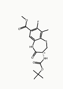 COC(=O)c1cc2c(c(C)c1F)SC[C@H](NC(=O)OC(C)(C)C)C(=O)N2